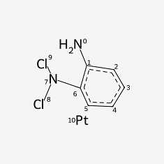 Nc1ccccc1N(Cl)Cl.[Pt]